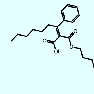 CCCCCCC(=C(C(=O)O)C(=O)OCCCC)c1ccccc1